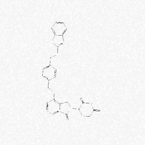 O=C1CCC(N2Cc3c(OCc4ccc(CSc5nc6ccccc6[nH]5)cc4)cccc3C2=O)C(=O)N1